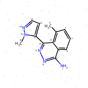 Cc1cccc2c(N)nnc(-c3ccnn3C)c12